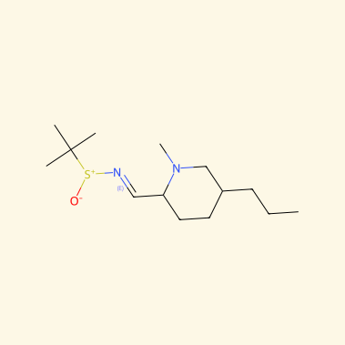 CCCC1CCC(/C=N/[S+]([O-])C(C)(C)C)N(C)C1